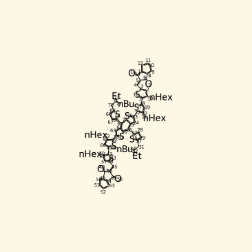 CCCCCCc1cc(C=C2C(=O)c3ccccc3C2=O)sc1-c1cc(CCCCCC)c(-c2cc3c(-c4ccc(CC(CC)CCCC)s4)c4sc(-c5sc(-c6sc(C=C7C(=O)c8ccccc8C7=O)cc6CCCCCC)cc5CCCCCC)cc4c(-c4ccc(CC(CC)CCCC)s4)c3s2)s1